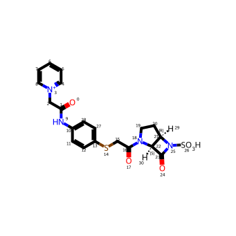 O=C(C[n+]1ccccc1)Nc1ccc(SCC(=O)N2CC[C@@H]3[C@H]2C(=O)N3S(=O)(=O)O)cc1